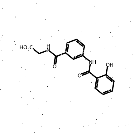 O=C(O)CNC(=O)c1cccc(NC(=O)c2ccccc2O)c1